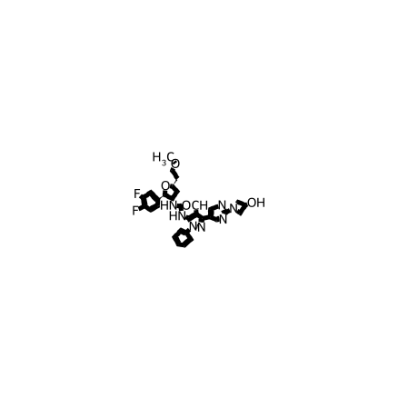 COCC[C@@H]1C[C@@H](NC(=O)Nc2c(C)c(-c3cnc(N4CC(O)C4)nc3)nn2-c2ccccc2)[C@H](c2ccc(F)c(F)c2)O1